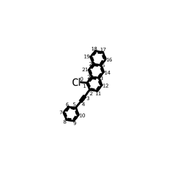 Clc1c(C#Cc2ccccc2)ccc2cc3ccccc3cc12